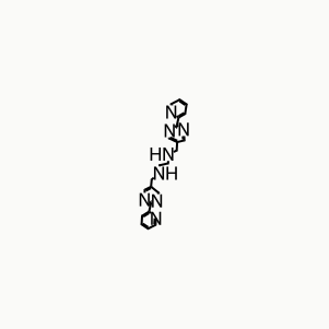 c1ccc(-c2ncc(CNCCNCc3cnc(-c4ccccn4)nc3)cn2)nc1